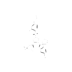 N#CC1(NC(=O)[C@@H]2C[C@@H](S(=O)(=O)c3ccc(OCC(F)(F)F)cc3Cl)CN2C(=O)C2(c3ccc(Br)cc3)OCCO2)CC1